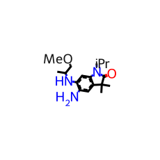 COCC(C)Nc1cc2c(cc1N)C(C)(C)C(=O)N2C(C)C